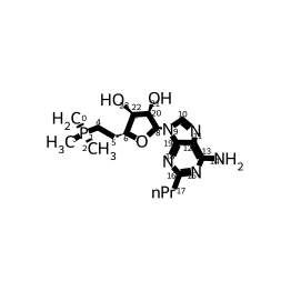 C=P(C)(C)CC[C@H]1O[C@@H](n2cnc3c(N)nc(CCC)nc32)[C@H](O)[C@@H]1O